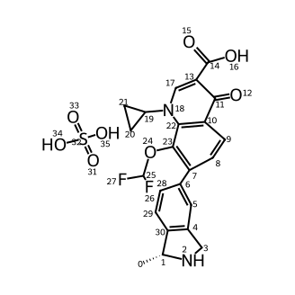 C[C@H]1NCc2cc(-c3ccc4c(=O)c(C(=O)O)cn(C5CC5)c4c3OC(F)F)ccc21.O=S(=O)(O)O